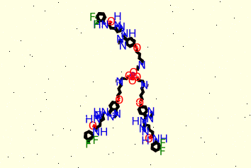 CN(CCCCOc1ccc2c(Nc3cc(CC(=O)Nc4cccc(F)c4F)[nH]n3)ncnc2c1)CCOP(=O)(OCCN(C)CCCCOc1ccc2c(Nc3cc(CC(=O)Nc4cccc(F)c4F)[nH]n3)ncnc2c1)OCCN(C)CCCCOc1ccc2c(Nc3cc(CC(=O)Nc4cccc(F)c4F)[nH]n3)ncnc2c1